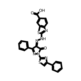 O=C(O)c1ccc2nc(N/N=C3\C(=O)N(c4nc(-c5ccccc5)cs4)N=C3c3ccccc3)sc2c1